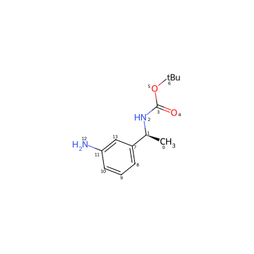 C[C@H](NC(=O)OC(C)(C)C)c1cccc(N)c1